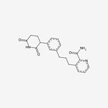 NC(=O)c1ncccc1CCCc1cccc(C2CCC(=O)NC2=O)c1